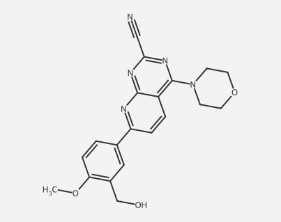 COc1ccc(-c2ccc3c(N4CCOCC4)nc(C#N)nc3n2)cc1CO